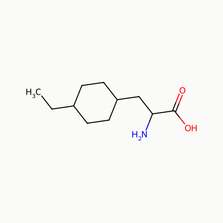 CCC1CCC(CC(N)C(=O)O)CC1